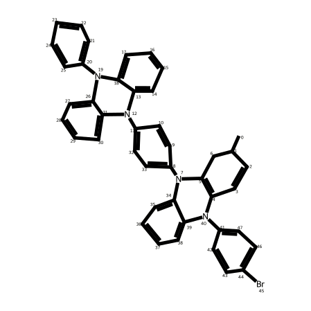 CC1C=CC2=C(C1)N(c1ccc(N3c4ccccc4N(c4ccccc4)c4ccccc43)cc1)c1ccccc1N2c1ccc(Br)cc1